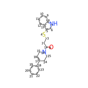 O=C(CCSc1c[nH]c2ccccc12)N1CC=C(c2ccccc2)CC1